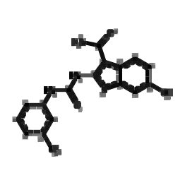 NC(=O)c1c(NC(=O)Nc2cccc(C(F)(F)F)c2)sc2cc(O)ccc12